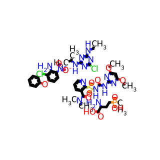 CCNc1nc(Cl)nc(NC(C)C)n1.COc1cc(OC)nc(NC(=O)NS(=O)(=O)c2ncccc2C(=O)N(C)C)n1.CP(=O)(O)CCC(N)C(=O)O.Nc1c([N+](=O)[O-])ccc(Oc2ccccc2)c1Cl